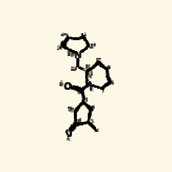 CC1CC(C(=O)N2CCCC[C@H]2CN2CCCC2)CC1=O